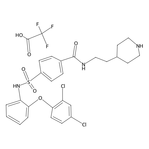 O=C(NCCC1CCNCC1)c1ccc(S(=O)(=O)Nc2ccccc2Oc2ccc(Cl)cc2Cl)cc1.O=C(O)C(F)(F)F